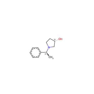 C[C@@H](c1ccccc1)N1CC[C@H](O)C1